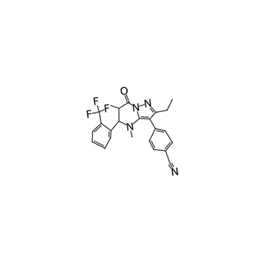 CCc1nn2c(c1-c1ccc(C#N)cc1)N(C)C(c1ccccc1C(F)(F)F)C(C)C2=O